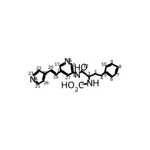 O=C(O)NC(CCc1ccccc1)C(=O)Nc1cncc(C=Cc2ccncc2)c1